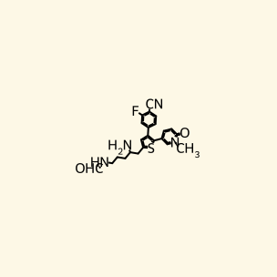 Cn1cc(-c2sc(CC(N)CCCNC=O)cc2-c2ccc(C#N)c(F)c2)ccc1=O